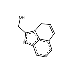 OCc1nc2cccc3c2n1CC=C3